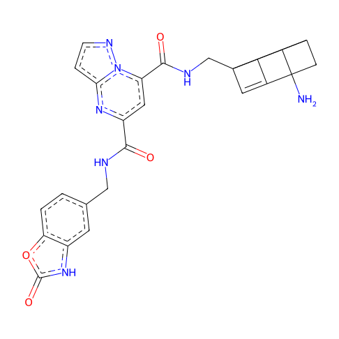 NC12CC3C1C1C2=CC31CNC(=O)c1cc(C(=O)NCc2ccc3oc(=O)[nH]c3c2)nc2ccnn12